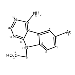 CC(=O)c1ccc2c(c1)c1c(N)ncnc1n2CC(=O)O